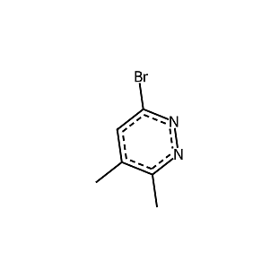 Cc1cc(Br)nnc1C